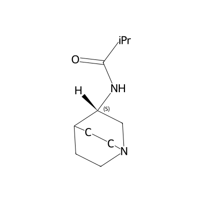 CC(C)C(=O)N[C@@H]1CN2CCC1CC2